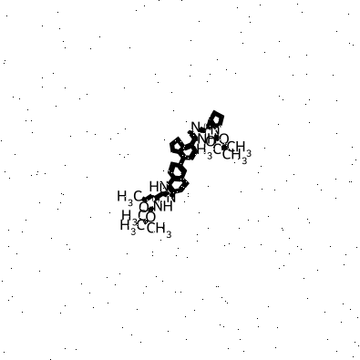 CCC[C@H](NC(=O)OC(C)(C)C)c1nc2ccc3cc(-c4ccc(-c5cnc([C@@H]6C7CCC(C7)N6C(=O)OC(C)(C)C)[nH]5)c5c4CCC5)ccc3c2[nH]1